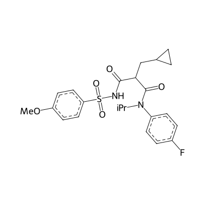 COc1ccc(S(=O)(=O)NC(=O)C(CC2CC2)C(=O)N(c2ccc(F)cc2)C(C)C)cc1